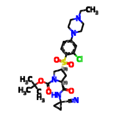 CCN1CCN(c2ccc(S(=O)(=O)[C@@H]3C[C@@H](C(=O)NC4(C#N)CC4)N(C(=O)OC(C)(C)C)C3)c(Cl)c2)CC1